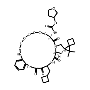 CC1(C)C2(CCC2)[C@@]12C[C@H]1C(=O)NC(CC3CCC3)C(=O)C(=O)Nc3ccccc3NCCOCCCC[C@H](NC(=O)OC3CCOC3)C(=O)N1C2